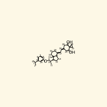 CC(C)c1cccc(OC[C@H](C)C2CCC3/C(=C/C=C4C[C@@H](O)C5(CC5)[C@H](O)C4)CCCC32C)c1